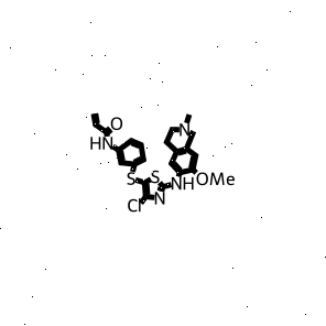 C=CC(=O)Nc1cccc(Sc2sc(Nc3cc4c(cc3OC)CN(C)CC4)nc2Cl)c1